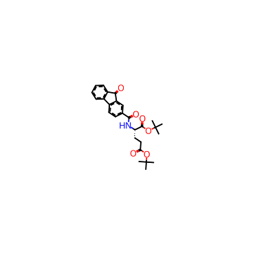 CC(C)(C)OC(=O)CC[C@H](NC(=O)c1ccc2c(c1)C(=O)c1ccccc1-2)C(=O)OC(C)(C)C